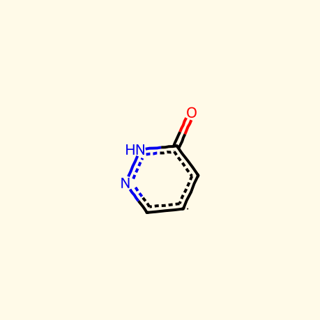 O=c1c[c]cn[nH]1